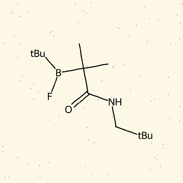 CC(C)(C)CNC(=O)C(C)(C)B(F)C(C)(C)C